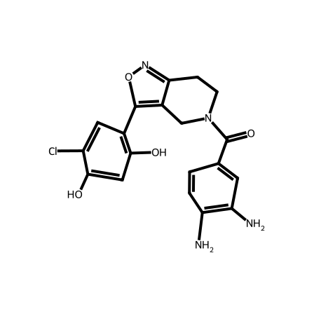 Nc1ccc(C(=O)N2CCc3noc(-c4cc(Cl)c(O)cc4O)c3C2)cc1N